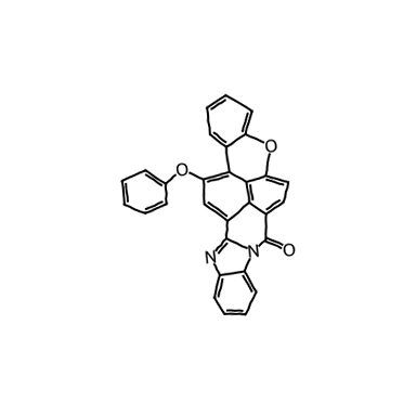 O=c1c2ccc3oc4ccccc4c4c(Oc5ccccc5)cc(c2c34)c2nc3ccccc3n12